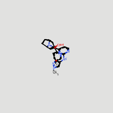 Cn1cc(Nc2nccc(C3=CC4CCC(C3)N4C(O)c3ccc(C(F)(F)F)cn3)n2)cn1